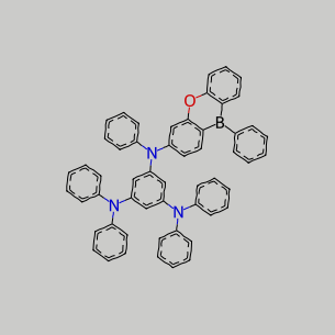 c1ccc(B2c3ccccc3Oc3cc(N(c4ccccc4)c4cc(N(c5ccccc5)c5ccccc5)cc(N(c5ccccc5)c5ccccc5)c4)ccc32)cc1